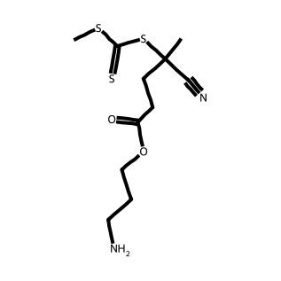 CSC(=S)SC(C)(C#N)CCC(=O)OCCCN